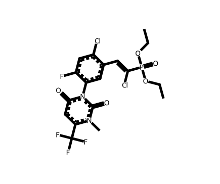 CCOP(=O)(OCC)C(Cl)=Cc1cc(-n2c(=O)cc(C(F)(F)F)n(C)c2=O)c(F)cc1Cl